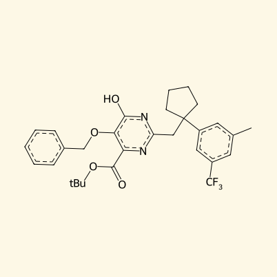 Cc1cc(C(F)(F)F)cc(C2(Cc3nc(O)c(OCc4ccccc4)c(C(=O)OC(C)(C)C)n3)CCCC2)c1